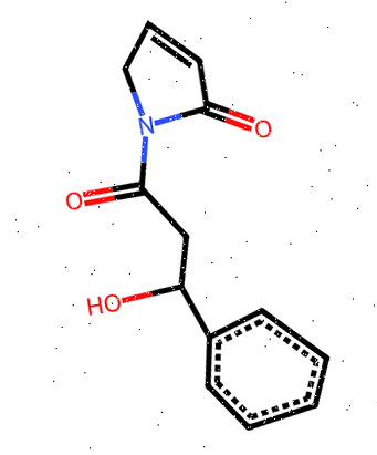 O=C1C=CCN1C(=O)CC(O)c1ccccc1